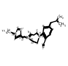 CC(C)Cc1ccc(C#N)c(N2CCN(Cc3cn(C)cn3)CC2)c1